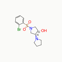 O=S(=O)(c1ccccc1Br)N1C[C@H](O)[C@@H](N2CCCC2)C1